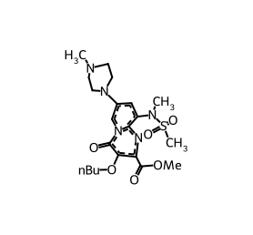 CCCCOc1c(C(=O)OC)nc2c(N(C)S(C)(=O)=O)cc(N3CCN(C)CC3)cn2c1=O